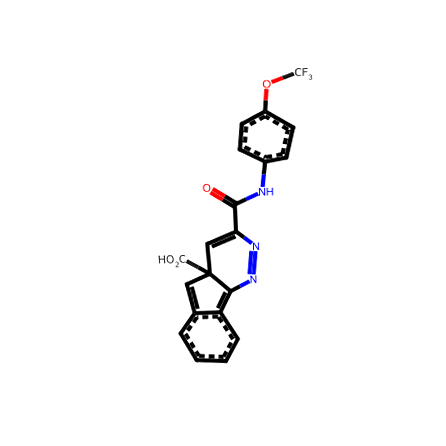 O=C(Nc1ccc(OC(F)(F)F)cc1)C1=CC2(C(=O)O)C=c3ccccc3=C2N=N1